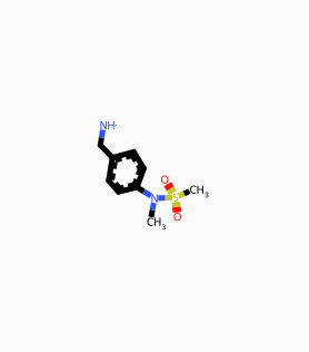 CN(c1ccc(C[NH])cc1)S(C)(=O)=O